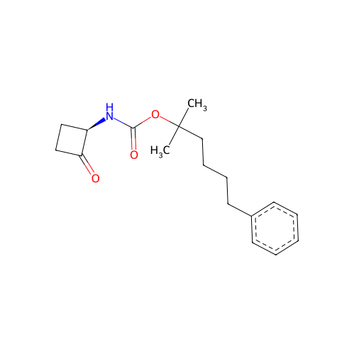 CC(C)(CCCCc1ccccc1)OC(=O)N[C@@H]1CCC1=O